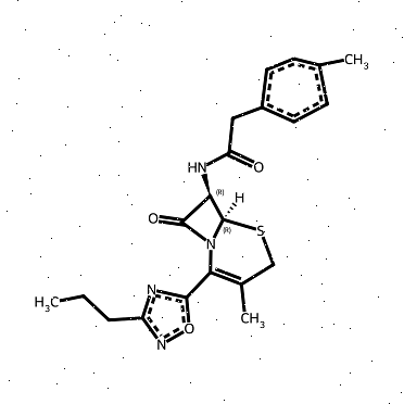 CCCc1noc(C2=C(C)CS[C@@H]3[C@H](NC(=O)Cc4ccc(C)cc4)C(=O)N23)n1